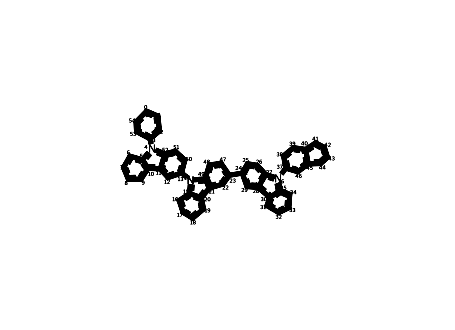 c1ccc(-n2c3ccccc3c3cc(-n4c5ccccc5c5cc(-c6ccc7c(c6)c6ccccc6n7-c6ccc7ccccc7c6)ccc54)ccc32)cc1